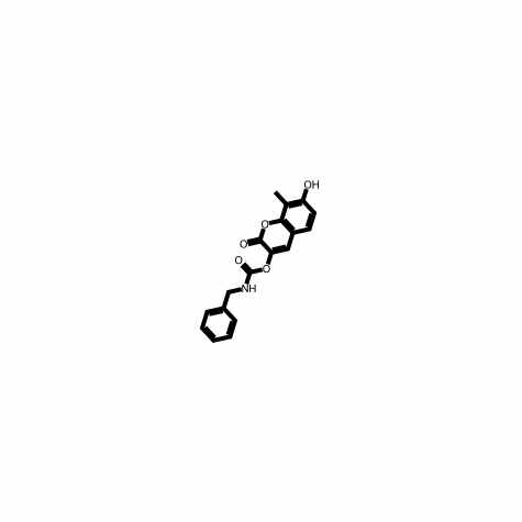 Cc1c(O)ccc2cc(OC(=O)NCc3ccccc3)c(=O)oc12